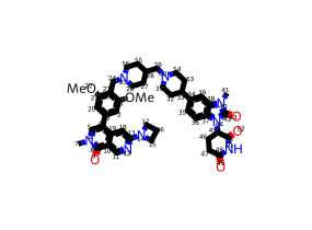 COc1cc(-c2cn(C)c(=O)c3cnc(N4CCC4)cc23)cc(OC)c1CN1CCC(CN2CCC(c3ccc4c(c3)n(C)c(=O)n4C3CCC(=O)NC3=O)CC2)CC1